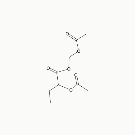 CCC(OC(C)=O)C(=O)OCOC(C)=O